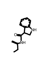 C=C(CC)NC(=O)C1CNc2ccccc21